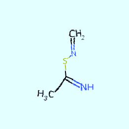 C=NSC(C)=N